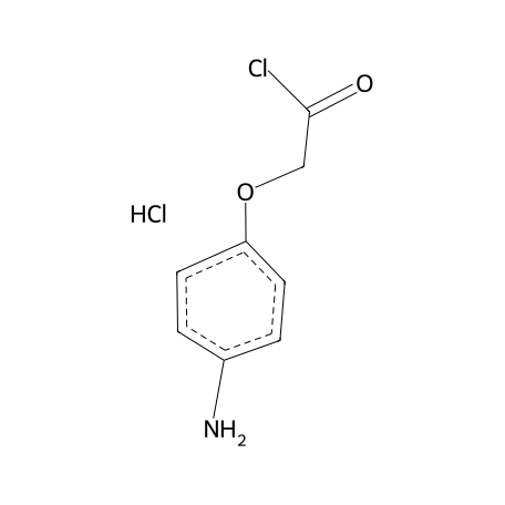 Cl.Nc1ccc(OCC(=O)Cl)cc1